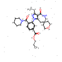 CCCOC(=O)c1ccc(C(=O)N2CCCCC2)c(-n2nc(CC)c3c2CC2(CCOCC2)CNC3=O)c1